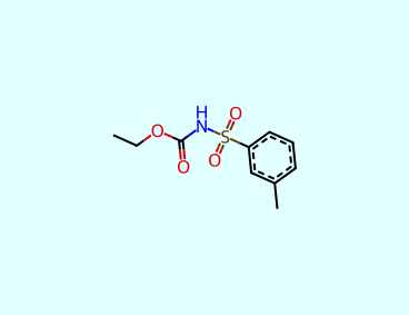 CCOC(=O)NS(=O)(=O)c1cccc(C)c1